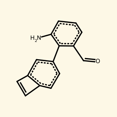 Nc1cccc(C=O)c1-c1ccc2c(c1)C=C2